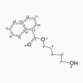 O=C(OCCCCCO)c1cccc2ccccc12